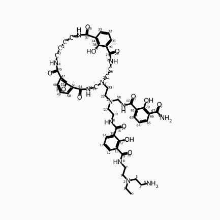 CCN(CCN)CCNC(=O)c1cccc(C(=O)NCCN(CCN2CCNC(=O)c3cccc(c3O)C(=O)NCCCCNC(=O)c3cccc(c3O)C(=O)NC2)CNC(=O)c2cccc(C(N)=O)c2O)c1O